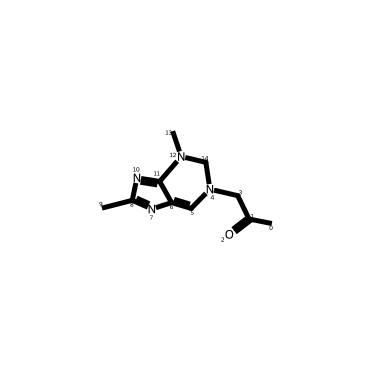 CC(=O)CN1C=C2N=C(C)N=C2N(C)C1